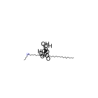 CCCC/C=C\CCCCCCCC(=O)O[C@H](COC(=O)CCCCCCCCCCCCCCCCC)COP(=O)(O)OC[C@@H](O)CO